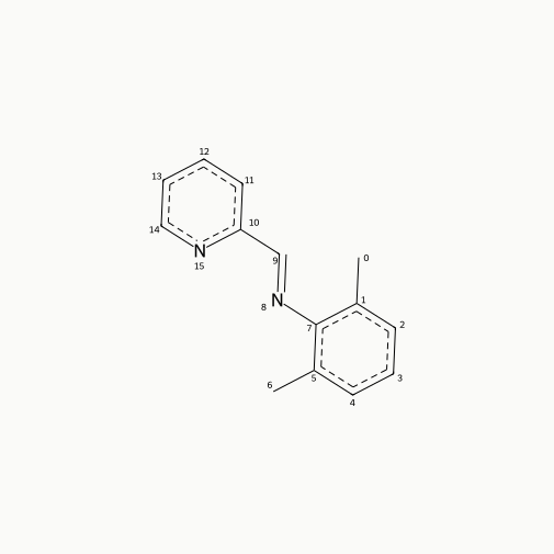 Cc1cccc(C)c1/N=C/c1ccccn1